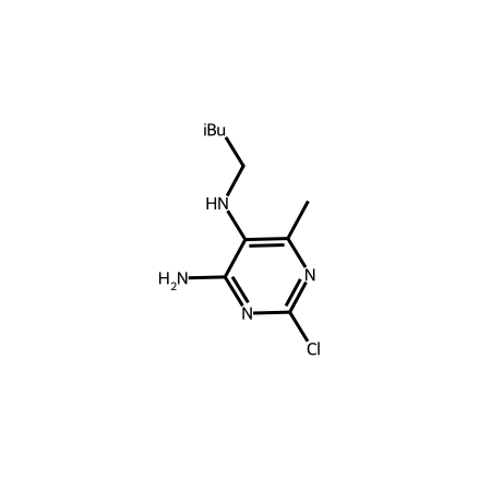 CCC(C)CNc1c(C)nc(Cl)nc1N